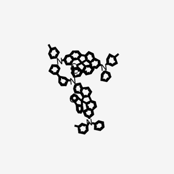 Cc1ccc(N(c2ccccc2)c2ccc3c4c(ccc3c2)-c2ccc3cc(N(c5ccc(C)cc5)c5cccc(-c6cccc(N(c7cccc(C)c7)c7ccc8c9c(ccc8c7)-c7ccc8cc(N(c%10ccccc%10)c%10cccc(C)c%10)ccc8c7C97c8ccccc8-c8ccccc87)c6)c5)ccc3c2C42c3ccccc3-c3ccccc32)cc1